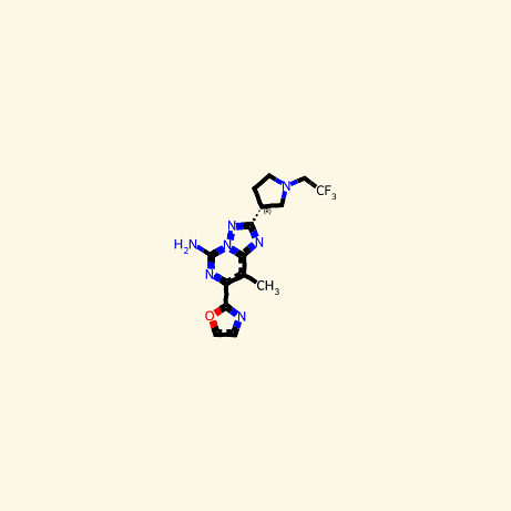 Cc1c(-c2ncco2)nc(N)n2nc([C@@H]3CCN(CC(F)(F)F)C3)nc12